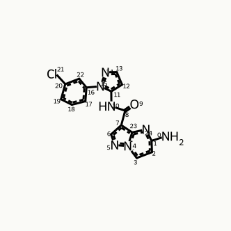 Nc1ccn2ncc(C(=O)Nc3ccnn3-c3cccc(Cl)c3)c2n1